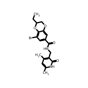 CCC1COc2cc(C(=O)NCc3c(C)cc(C)[nH]c3=O)cc(Br)c2O1